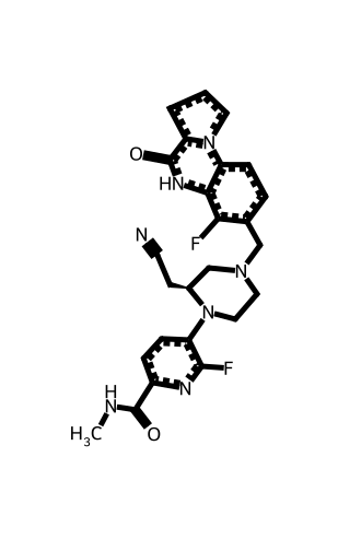 CNC(=O)c1ccc(N2CCN(Cc3ccc4c([nH]c(=O)c5cccn54)c3F)C[C@@H]2CC#N)c(F)n1